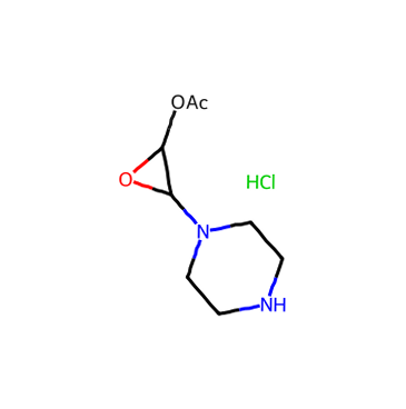 CC(=O)OC1OC1N1CCNCC1.Cl